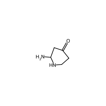 NC1CC(=O)CCN1